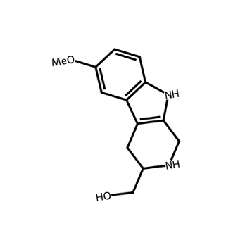 COc1ccc2[nH]c3c(c2c1)CC(CO)NC3